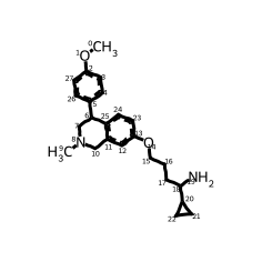 COc1ccc(C2CN(C)Cc3cc(OCCCC(N)C4CC4)ccc32)cc1